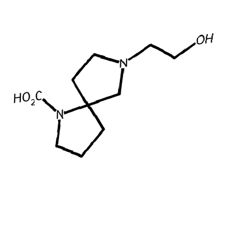 O=C(O)N1CCCC12CCN(CCO)C2